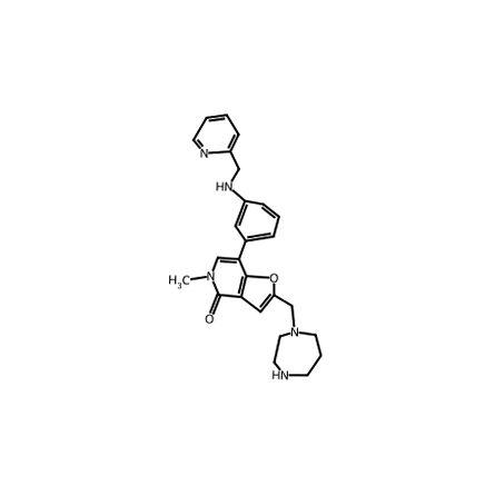 Cn1cc(-c2cccc(NCc3ccccn3)c2)c2oc(CN3CCCNCC3)cc2c1=O